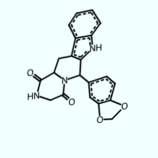 O=C1NCC(=O)N2C1Cc1c([nH]c3ccccc13)C2c1ccc2c(c1)OCO2